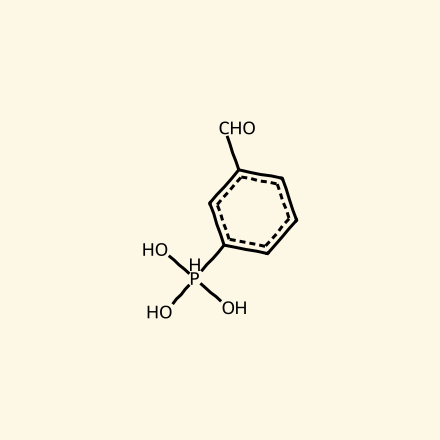 O=Cc1cccc([PH](O)(O)O)c1